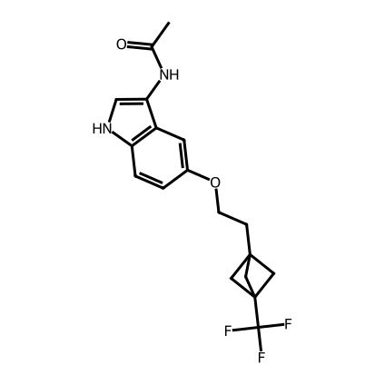 CC(=O)Nc1c[nH]c2ccc(OCCC34CC(C(F)(F)F)(C3)C4)cc12